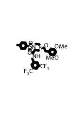 COc1ccc(OC)c(CC(=O)N2CCN(S(=O)(=O)c3ccc(C)cc3)C(C(=O)NCc3cc(C(F)(F)F)cc(C(F)(F)F)c3)C2)c1